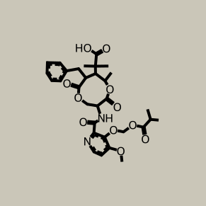 COc1ccnc(C(=O)NC2COC(=O)C(Cc3ccccc3)C(C(C)(C)C(=O)O)C(C)OC2=O)c1OCOC(=O)C(C)C